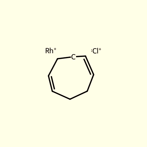 C1=CCCC=CCC1.[Cl+].[Rh+]